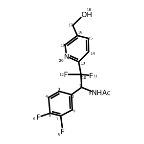 CC(=O)NC(c1ccc(F)c(F)c1)C(F)(F)c1ccc(CO)cn1